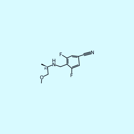 COC[C@@H](C)NCc1c(F)cc(C#N)cc1F